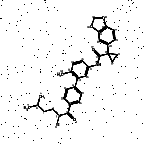 CCN(CCN(C)C)C(=O)c1ccc(-c2cc(NC(=O)C3(c4ccc5c(c4)OCO5)CC3)ccc2C)cc1